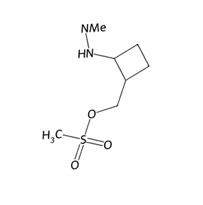 CNNC1CCC1COS(C)(=O)=O